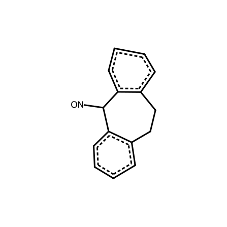 O=NC1c2ccccc2CCc2ccccc21